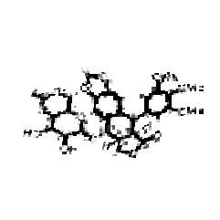 COc1cc(C2c3cc4c(cc3[C@@H](OC3OC5COC(C)OC5C(O)C3O)[C@H]3COC(=O)[C@H]23)OCO4)cc(OC)c1OC